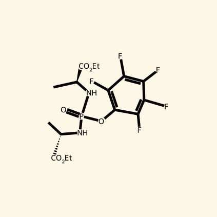 CCOC(=O)[C@H](C)NP(=O)(N[C@@H](C)C(=O)OCC)Oc1c(F)c(F)c(F)c(F)c1F